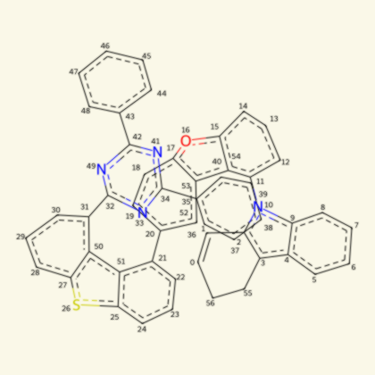 C1=Cc2c(c3ccccc3n2-c2cccc3oc4ccc(-c5cccc6sc7cccc(-c8nc(-c9ccccc9)nc(-c9ccccc9)n8)c7c56)cc4c23)CC1